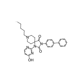 [CH2]CCCCN1CCC2(CC1)C(=O)N(c1ccc(-c3ccccc3)cc1)C(=O)N2c1nccc(O)n1